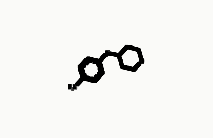 FC(F)(F)c1ccc(SC2CCOCC2)cc1